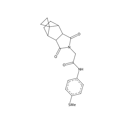 CSc1ccc(NC(=O)CN2C(=O)C3C(C2=O)C2CCC3C23CC3)cc1